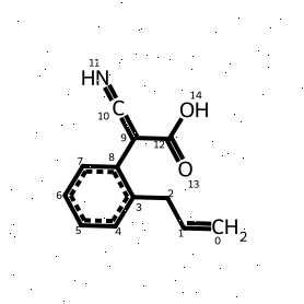 C=CCc1ccccc1C(=C=N)C(=O)O